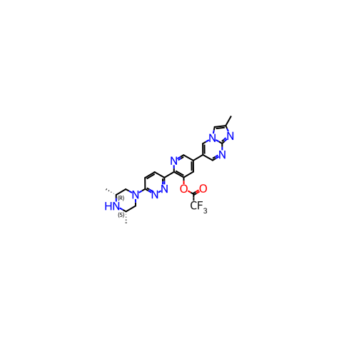 Cc1cn2cc(-c3cnc(-c4ccc(N5C[C@@H](C)N[C@@H](C)C5)nn4)c(OC(=O)C(F)(F)F)c3)cnc2n1